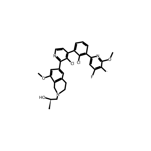 [CH2]c1c(F)cc(-c2cccc(-c3ccnc(-c4cc5c(c(OC)c4)CN(C[C@@H](C)O)CC5)c3Cl)c2Cl)nc1OC